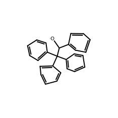 [O]C(c1ccccc1)C(c1ccccc1)(c1ccccc1)c1ccccc1